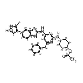 Cc1n[nH]cc1-c1ccc2nc(Nc3cc(Cc4ccccc4)nc(N[C@H]4CC[C@H](OC(=O)C(F)(F)F)CC4)n3)sc2c1